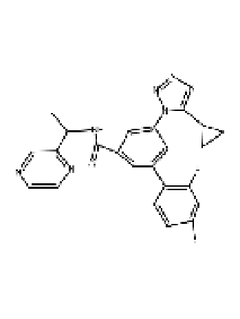 CC(NC(=O)c1cc(-c2ccc(F)cc2F)cc(-n2nnnc2C2CC2)c1)c1cnccn1